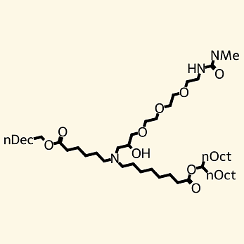 CCCCCCCCCCCOC(=O)CCCCCN(CCCCCCCC(=O)OC(CCCCCCCC)CCCCCCCC)CC(O)COCCOCCOCCNC(=O)NC